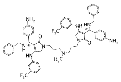 CN(CCCN1CC(Nc2cccc(C(F)(F)F)c2)=C([C@H](NCc2ccccc2)c2ccc(N)cc2)C1=O)CCCN1CC(Nc2cccc(C(F)(F)F)c2)=C([C@H](NCc2ccccc2)c2ccc(N)cc2)C1=O